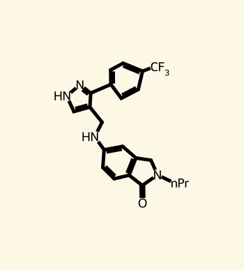 CCCN1Cc2cc(NCc3c[nH]nc3-c3ccc(C(F)(F)F)cc3)ccc2C1=O